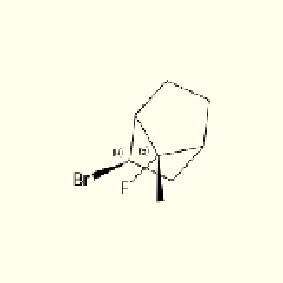 C[C@]1(F)C2CCC1[C@H](Br)C2